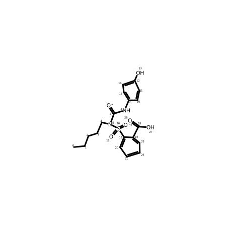 CCCCCN(C(=O)Nc1ccc(O)cc1)S(=O)(=O)c1ccccc1C(=O)O